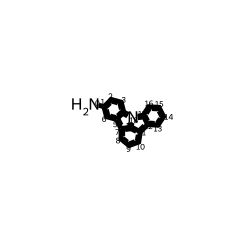 Nc1ccc2c(c1)c1cccc3c4ccccc4n2c31